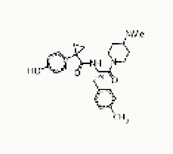 CNC1CCN(C(=O)[C@H](Cc2ccc(C)cc2)NC(=O)C2(c3ccc(O)cc3)CC2)CC1